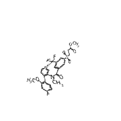 COC(=O)CCS(=O)(=O)c1cc(C(=O)N(C)c2cnccc2-c2ccc(F)cc2OC)cc(C(F)(F)F)c1